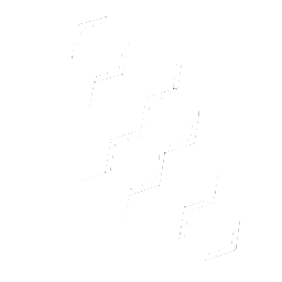 COc1cc2c(ccc(=O)n2-c2ccccc2Cl)c(-c2ccccc2Cl)c1Br